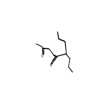 CCCC(CCC)C(=O)CC(C)=O